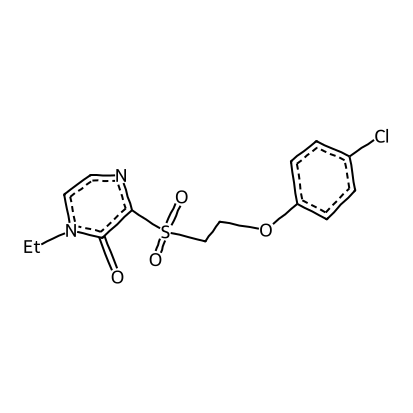 CCn1ccnc(S(=O)(=O)CCOc2ccc(Cl)cc2)c1=O